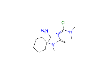 C=C(/N=C(/Cl)N(C)C)N(C)C1(CN)CCCCC1